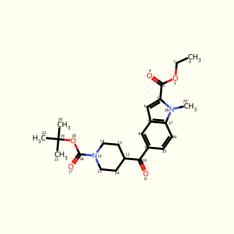 CCOC(=O)c1cc2cc(C(=O)C3CCN(C(=O)OC(C)(C)C)CC3)ccc2n1C